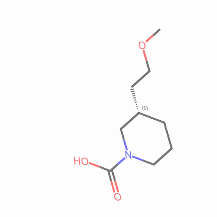 COCC[C@@H]1CCCN(C(=O)O)C1